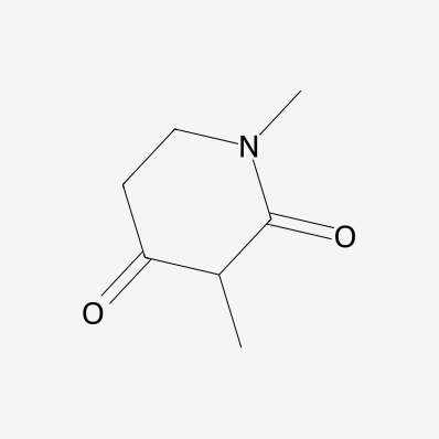 CC1C(=O)CCN(C)C1=O